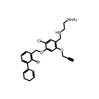 C#CCOc1cc(OCc2cccc(C3=CCCC=C3)c2Br)c(Cl)cc1CNCCNC(C)=O